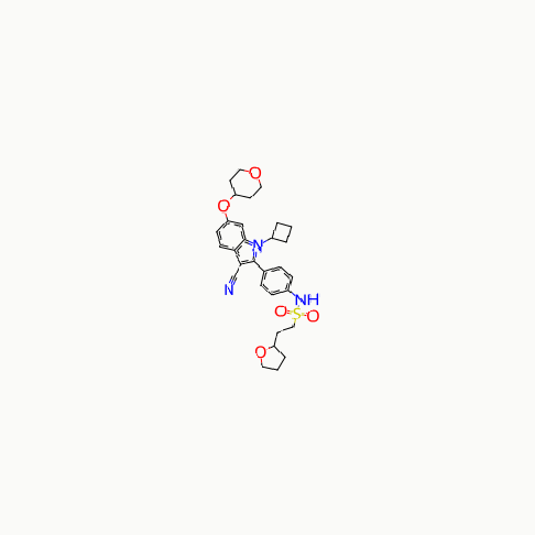 N#Cc1c(-c2ccc(NS(=O)(=O)CCC3CCCO3)cc2)n(C2CCC2)c2cc(OC3CCOCC3)ccc12